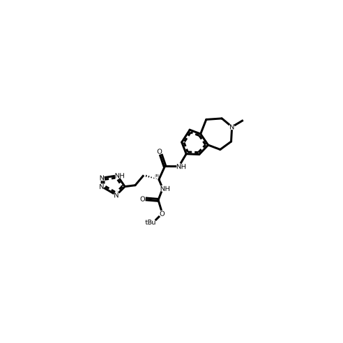 CN1CCc2ccc(NC(=O)[C@@H](CCc3nnn[nH]3)NC(=O)OC(C)(C)C)cc2CC1